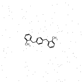 Cc1ccccc1Cc1ccc(Cc2ccccc2C)cc1